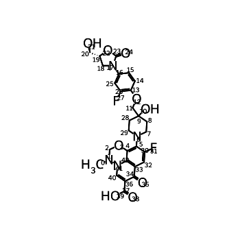 CN1COc2c(N3CCC(O)(COc4ccc(N5C[C@H](CO)OC5=O)cc4F)CC3)c(F)cc3c(=O)c(C(=O)O)cn1c23